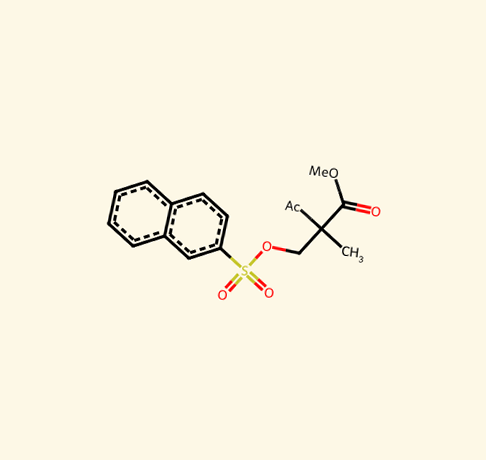 COC(=O)C(C)(COS(=O)(=O)c1ccc2ccccc2c1)C(C)=O